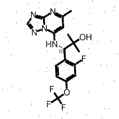 Cc1cc(N[C@@H](c2ccc(OC(F)(F)F)cc2F)C(C)(C)O)n2ncnc2n1